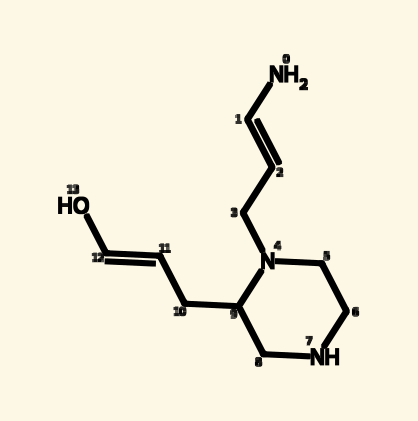 NC=CCN1CCNCC1CC=CO